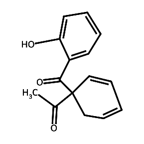 CC(=O)C1(C(=O)c2ccccc2O)C=CC=CC1